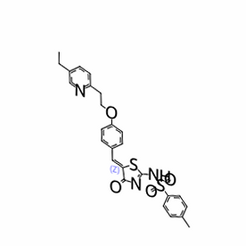 CCc1ccc(CCOc2ccc(/C=C3\SC(NS(=O)(=O)c4ccc(C)cc4)=NC3=O)cc2)nc1